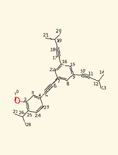 COc1cc(C#Cc2cc(C#CC(C)C)cc(C#CC(C)C)c2)ccc1C(C)C